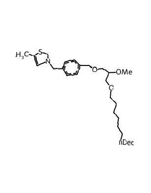 CCCCCCCCCCCCCCCCOCC(COCc1ccc(CN2C=C(C)SC2)cc1)OC